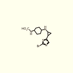 O=C(O)NC1CCC(NC2CC2c2cnc(Br)s2)CC1